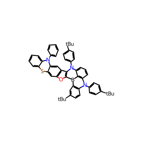 CC(C)(C)c1ccc(N2c3ccc(C(C)(C)C)cc3B3c4oc5cc6c(cc5c4N(c4ccc(C(C)(C)C)cc4)c4cccc2c43)N(c2ccccc2)c2ccccc2S6)cc1